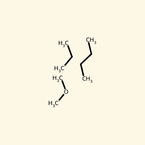 CCC.CCCC.COC